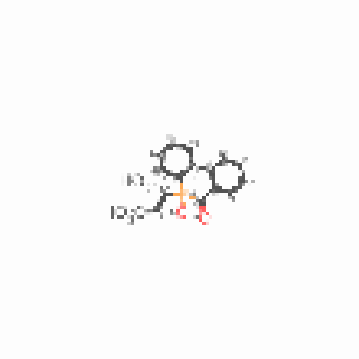 O=C(O)/C=C(\C(=O)O)P1(=O)C(=O)c2ccccc2-c2ccccc21